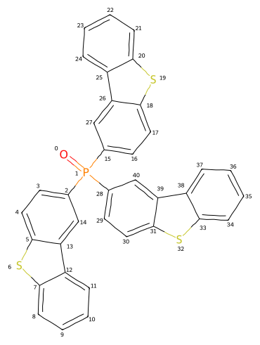 O=P(c1ccc2sc3ccccc3c2c1)(c1ccc2sc3ccccc3c2c1)c1ccc2sc3ccccc3c2c1